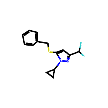 FC(F)c1cc(SCc2ccccc2)n(C2CC2)n1